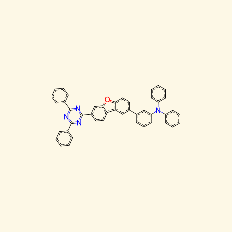 c1ccc(-c2nc(-c3ccccc3)nc(-c3ccc4c(c3)oc3ccc(-c5cccc(N(c6ccccc6)c6ccccc6)c5)cc34)n2)cc1